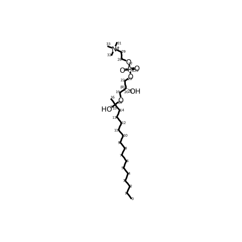 CCCCCCCCCCCCCCCC(C)(O)OC[C@@H](O)COP(=O)([O-])OCC[N+](C)(C)C